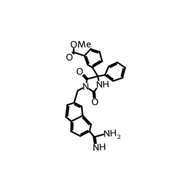 COC(=O)c1cccc(C2(c3ccccc3)NC(=O)N(Cc3ccc4ccc(C(=N)N)cc4c3)C2=O)c1